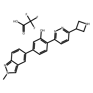 Cn1cc2cc(-c3ccc(-c4ccc(C5CNC5)nn4)c(O)c3)ccc2n1.O=C(O)C(F)(F)F